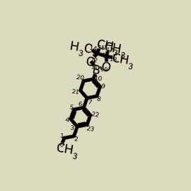 CCCc1ccc(C2CC=C(B3OC(C)(C)C(C)(C)O3)CC2)cc1